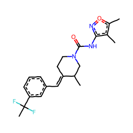 Cc1onc(NC(=O)N2CCC(=Cc3cccc(C(C)(F)F)c3)C(C)C2)c1C